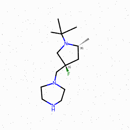 C[C@@H]1C[C@](F)(CN2CCNCC2)CN1C(C)(C)C